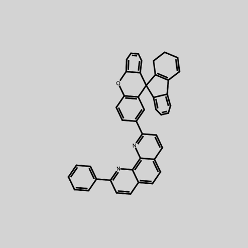 C1=CC2=C(CC1)C1(c3ccccc3Oc3ccc(-c4ccc5ccc6ccc(-c7ccccc7)nc6c5n4)cc31)c1ccccc12